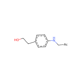 CC(=O)CNc1ccc(CCO)cc1